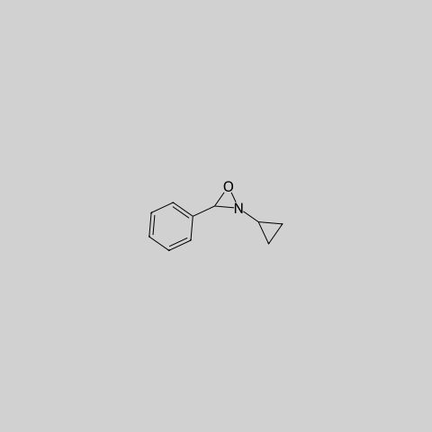 c1ccc(C2ON2C2CC2)cc1